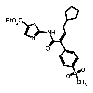 CCOC(=O)c1cnc(NC(=O)C(=CCC2CCCC2)c2ccc(S(C)(=O)=O)cc2)s1